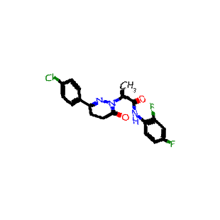 CC(C(=O)Nc1ccc(F)cc1F)N1N=C(c2ccc(Cl)cc2)CCC1=O